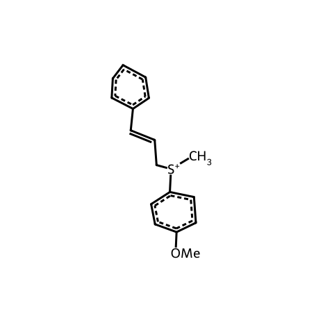 COc1ccc([S+](C)CC=Cc2ccccc2)cc1